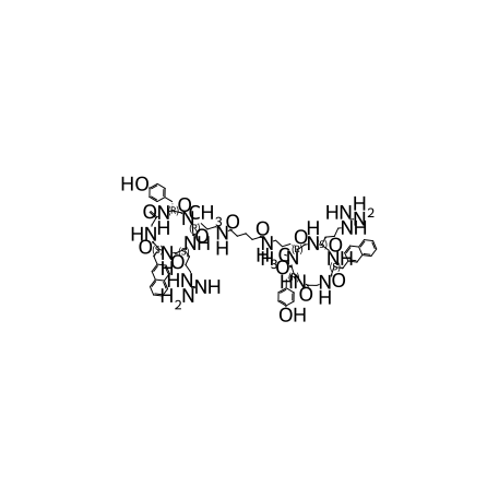 CN1C(=O)[C@@H](Cc2ccc(O)cc2)NC(=O)CNC(=O)[C@H](Cc2ccc3ccccc3c2)NC(=O)[C@H](CCCNC(=N)N)NC(=O)[C@H]1CCCNC(=O)CCCC(=O)NCCC[C@@H]1C(=O)N[C@@H](CCCNC(=N)N)C(=O)N[C@@H](Cc2ccc3ccccc3c2)C(=O)NCC(=O)N[C@H](Cc2ccc(O)cc2)C(=O)N1C